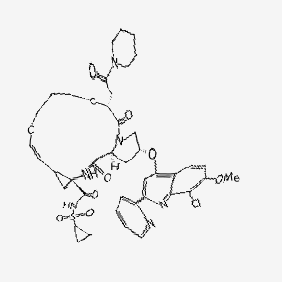 COc1ccc2c(O[C@@H]3C[C@H]4C(=O)N[C@]5(C(=O)NS(=O)(=O)C6CC6)CC5/C=C\CCCCC[C@H](CC(=O)N5CCCCC5)C(=O)N4C3)cc(-c3ccccn3)nc2c1Cl